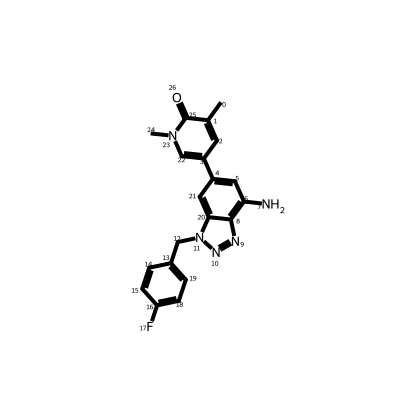 Cc1cc(-c2cc(N)c3nnn(Cc4ccc(F)cc4)c3c2)cn(C)c1=O